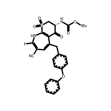 CC(C)(C)OC(=O)N[C@H]1CS(=O)(=O)C2=C(C1=O)C(Cc1ccc(Oc3ccccc3)cc1)=CC(C#N)=C(F)N2